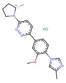 COc1cc(-c2ccc(N3CCC[C@@H]3C)nn2)ccc1-n1cnc(C)c1.Cl